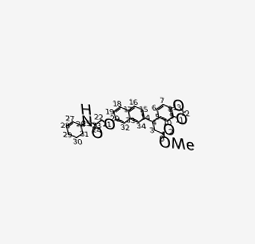 COC(=O)CC(c1ccc2c(c1)OCO2)c1ccc2ccc(OCC(=O)NC3C=CCCC3)cc2c1